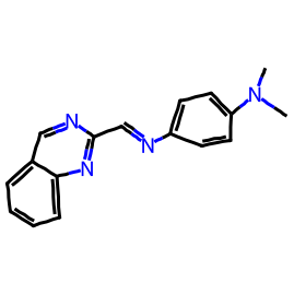 CN(C)c1ccc(N=Cc2ncc3ccccc3n2)cc1